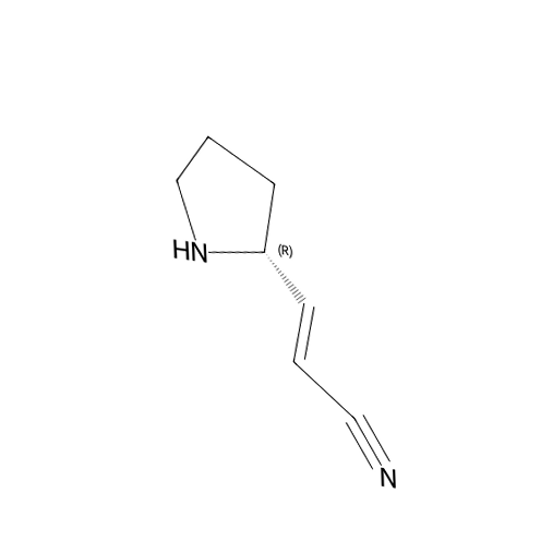 N#CC=C[C@H]1CCCN1